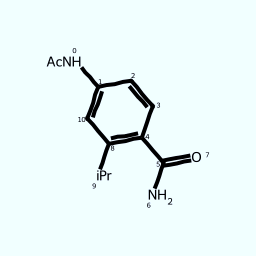 CC(=O)Nc1ccc(C(N)=O)c(C(C)C)c1